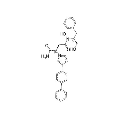 NC(=O)[C@@H](CC(=O)N(O)[C@H](CO)Cc1ccccc1)n1ccc(-c2ccc(-c3ccccc3)cc2)c1